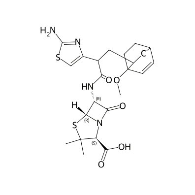 COC12C=CC(CC1)CC2CC(C(=O)N[C@@H]1C(=O)N2[C@@H]1SC(C)(C)[C@@H]2C(=O)O)c1csc(N)n1